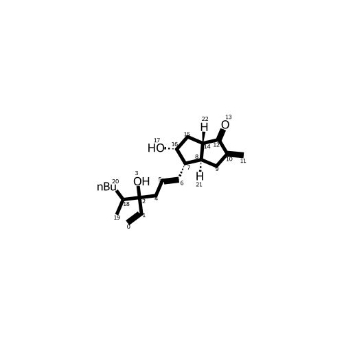 C=CC(O)(CC=C[C@H]1[C@@H]2CC(=C)C(=O)[C@H]2C[C@H]1O)C(C)CCCC